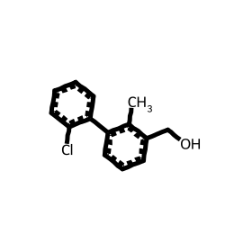 Cc1c(CO)cccc1-c1ccccc1Cl